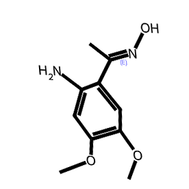 COc1cc(N)c(/C(C)=N/O)cc1OC